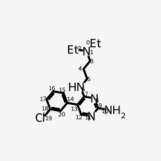 CCN(CC)CCCNc1nc(N)ncc1-c1cccc(Cl)c1